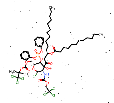 CCCCCCCCCCCC(=O)O[C@H](CCCCCCCCCCC)CC(=O)[C@@]1(O)[C@H](NC(=O)OCC(Cl)(Cl)Cl)[C@@H](Cl)O[C@H](COC(=O)OC(C)(C)C(Cl)(Cl)Cl)[C@H]1OP(=O)(Oc1ccccc1)Oc1ccccc1